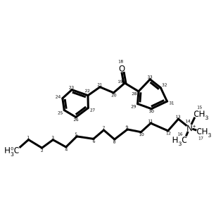 CCCCCCCCCCCCCC[N+](C)(C)C.O=C(CCc1ccccc1)c1ccccc1